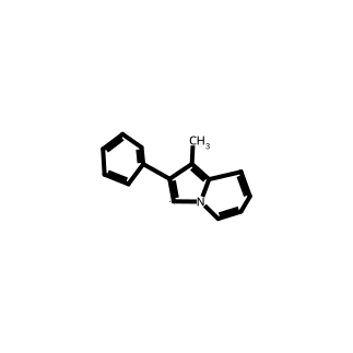 Cc1c(-c2ccccc2)[c]n2ccccc12